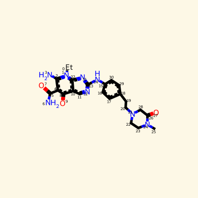 CCn1c(N)c(C(N)=O)c(=O)c2cnc(Nc3ccc(CCN4CCN(C)C(=O)C4)cc3)nc21